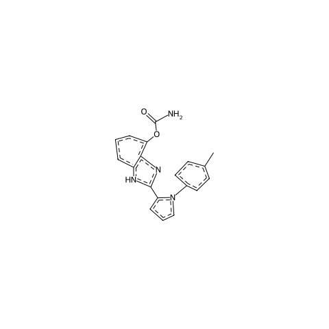 Cc1ccc(-n2cccc2-c2nc3c(OC(N)=O)cccc3[nH]2)cc1